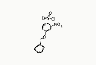 O=[N+]([O-])c1cc(OCc2ccccc2)ccc1S(=O)(=O)Cl